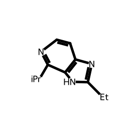 CCc1nc2ccnc(C(C)C)c2[nH]1